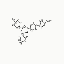 CCCc1ccc(-c2ccc(C3OC(c4ccc(F)cc4)CC(c4ccc(F)cc4)O3)cc2)cc1